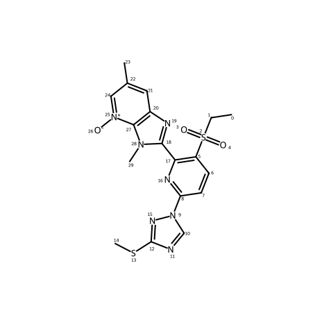 CCS(=O)(=O)c1ccc(-n2cnc(SC)n2)nc1-c1nc2cc(C)c[n+]([O-])c2n1C